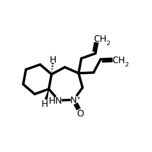 C=CCC1(CC=C)C[C@@H]2CCCC[C@H]2N[N+](=O)C1